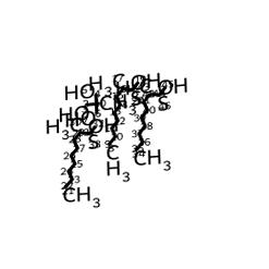 CC(CO)(CO)CO.CCCCCCCCC(C)C(O)=S.CCCCCCCCC(C)C(O)=S.CCCCCCCCC(C)C(O)=S